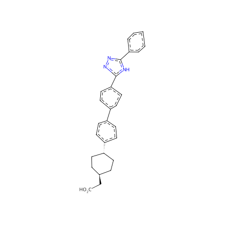 O=C(O)C[C@H]1CC[C@H](c2ccc(-c3ccc(-c4nnc(-c5ccccc5)[nH]4)cc3)cc2)CC1